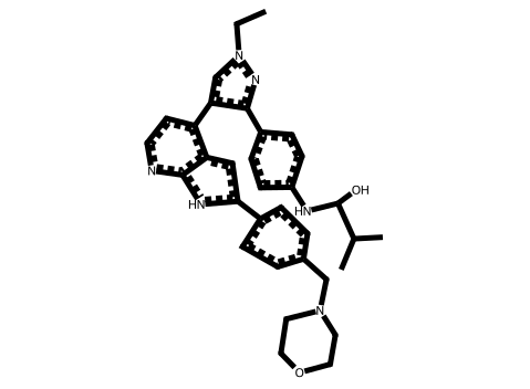 CCn1cc(-c2ccnc3[nH]c(-c4ccc(CN5CCOCC5)cc4)cc23)c(-c2ccc(NC(O)C(C)C)cc2)n1